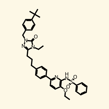 CCOc1ccc(-c2ccc(CCCc3nn(Cc4ccc(C(C)(C)C)cc4)c(=O)n3CC)cc2)nc1NS(=O)(=O)c1ccccc1